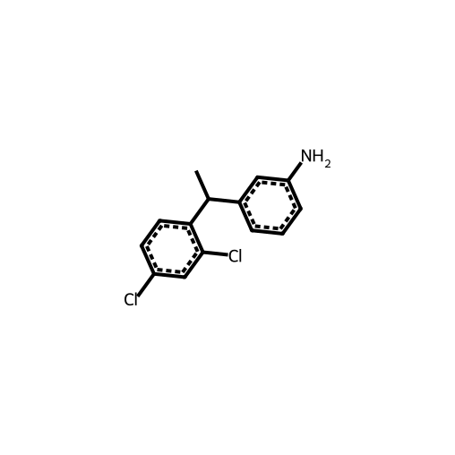 CC(c1cccc(N)c1)c1ccc(Cl)cc1Cl